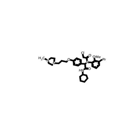 COc1c(C(C)C)cccc1N(C(=O)CCl)C(C(=O)NC1CCCCC1)c1ccc(OCCCN2CCN(C)CC2)cc1